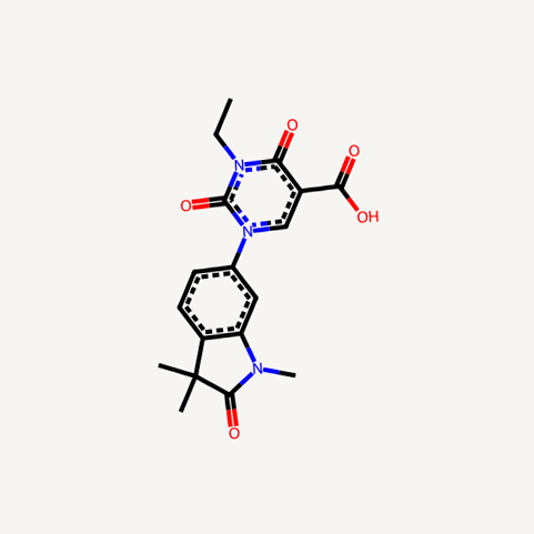 CCn1c(=O)c(C(=O)O)cn(-c2ccc3c(c2)N(C)C(=O)C3(C)C)c1=O